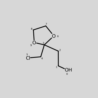 OCCC1(CCl)OCCO1